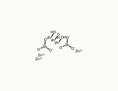 CC(C)O.CC(C)O.CC(C)O.[O-][Sb]([O-])[O-].[O-][Sb]([O-])[O-].[Zn+2].[Zn+2].[Zn+2]